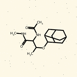 CNC(=O)C(NC(C)=O)C(C)OC1C2CC3CC(C2)CC1C3